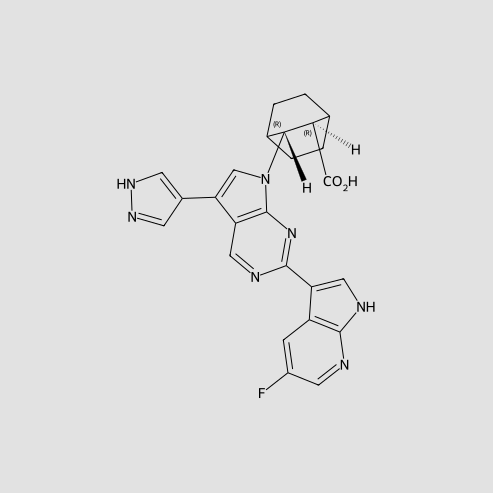 O=C(O)[C@@H]1C2CCC(CC2)[C@H]1n1cc(-c2cn[nH]c2)c2cnc(-c3c[nH]c4ncc(F)cc34)nc21